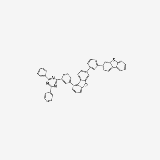 c1ccc(-c2nc(-c3ccccc3)nc(-c3cccc(-c4cccc5oc6cc(-c7cccc(-c8ccc9c(c8)sc8ccccc89)c7)ccc6c45)c3)n2)cc1